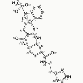 CN(c1ccccc1-c1ccc2c(c1)Nc1cc(C(=O)NCCc3c[nH]cn3)ccc1NC2=O)S(C)(=O)=O